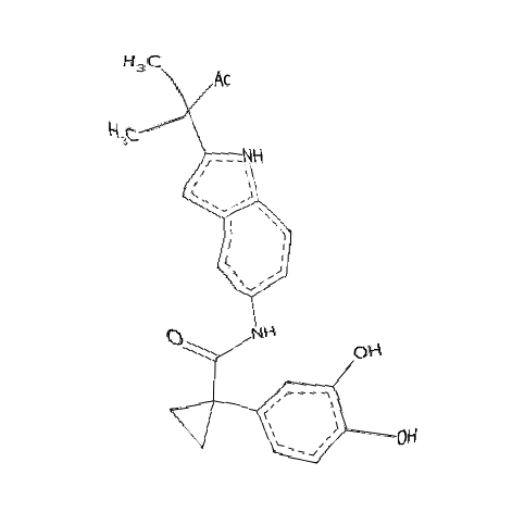 CC(=O)C(C)(C)c1cc2cc(NC(=O)C3(c4ccc(O)c(O)c4)CC3)ccc2[nH]1